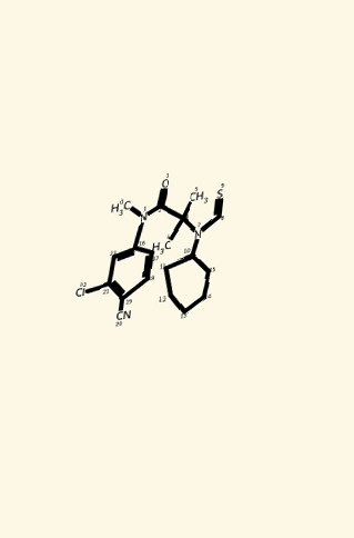 CN(C(=O)C(C)(C)N(C=S)C1CCCCC1)c1ccc(C#N)c(Cl)c1